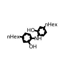 CCCCCCc1ccc(Nc2ccc(CCCCCC)cc2O)c(O)c1